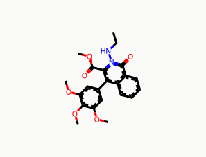 CCNn1c(C(=O)OC)c(-c2cc(OC)c(OC)c(OC)c2)c2ccccc2c1=O